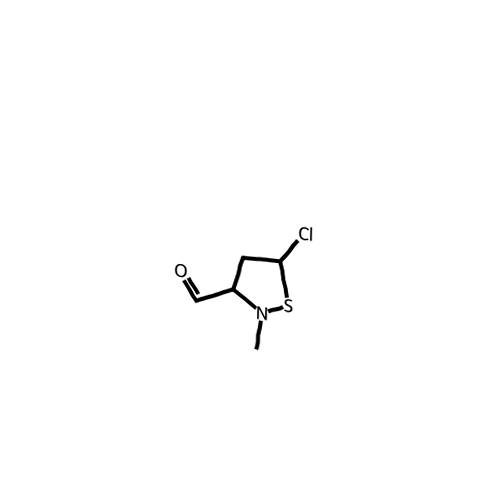 CN1SC(Cl)CC1C=O